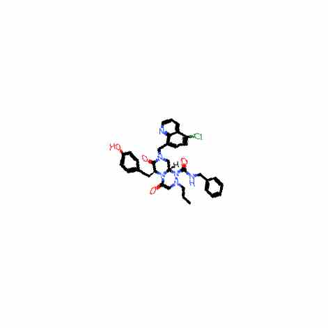 CCCN1CC(=O)N2[C@@H](Cc3ccc(O)cc3)C(=O)N(Cc3ccc(Cl)c4cccnc34)C[C@@H]2N1C(=O)NCc1ccccc1